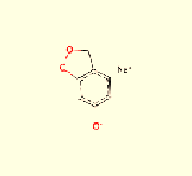 [Na+].[O-]c1ccc2c(c1)OOC2